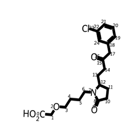 O=C(O)COCCCCN1C(=O)CCC1CCC(=O)Cc1cccc(Cl)c1